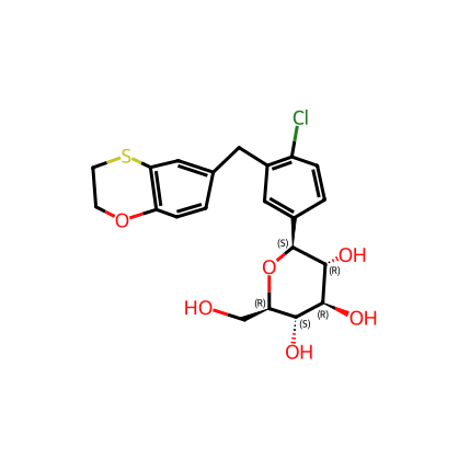 OC[C@H]1O[C@@H](c2ccc(Cl)c(Cc3ccc4c(c3)SCCO4)c2)[C@H](O)[C@@H](O)[C@@H]1O